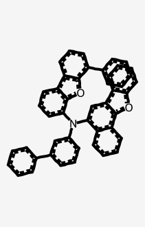 c1ccc(-c2cccc(N(c3cc4c5ccccc5oc4c4ccccc34)c3cccc4c3oc3c(-c5ccccc5)cccc34)c2)cc1